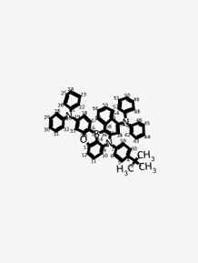 CC(C)(C)c1ccc(N2c3cccc4c3B(c3ccc(N(c5ccccc5)c5ccccc5)cc3O4)c3c2cc(N(c2ccccc2)c2ccccc2)c2ccccc32)cc1